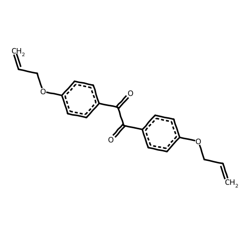 C=CCOc1ccc(C(=O)C(=O)c2ccc(OCC=C)cc2)cc1